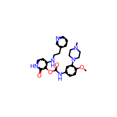 COc1ccc(NC(=O)Oc2c(NCCc3cccnc3)cc[nH]c2=O)cc1N1CCN(C)CC1